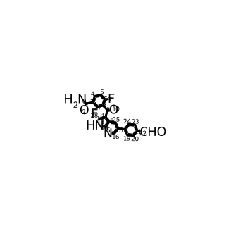 NC(=O)c1ccc(F)c(C(=O)c2c[nH]c3ncc(-c4ccc(C=O)cc4)cc23)c1F